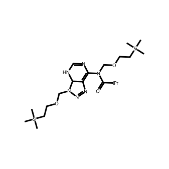 CC(C)C(=O)N(COCC[Si](C)(C)C)C1=C2N=NN(COCC[Si](C)(C)C)C2NC=N1